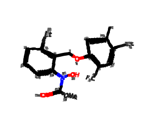 CCc1cc(C(F)(F)F)c(OCc2c(CC)cccc2N(O)C(=O)OC)cc1C